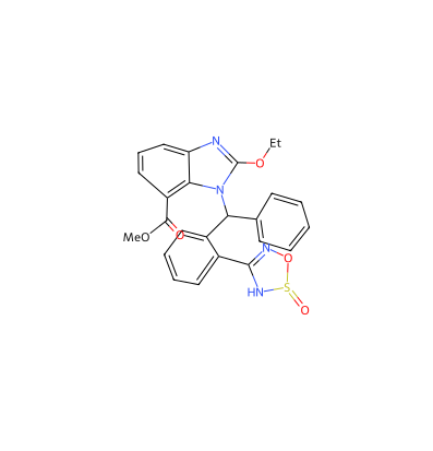 CCOc1nc2cccc(C(=O)OC)c2n1C(c1ccccc1)c1ccccc1C1=NOS(=O)N1